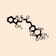 Cc1c(CN(C)C(=O)/C=C/c2cnc3c(c2)NC[C@](C)(O)C(=O)N3)oc2ccccc12